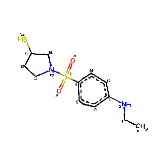 CCNc1ccc(S(=O)(=O)N2CCC(S)C2)cc1